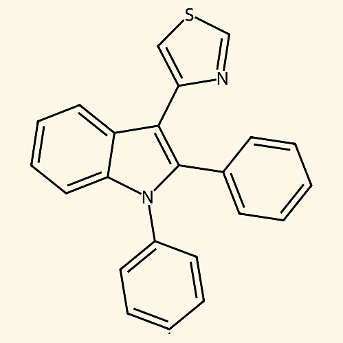 [c]1ccc(-n2c(-c3ccccc3)c(-c3cscn3)c3ccccc32)cc1